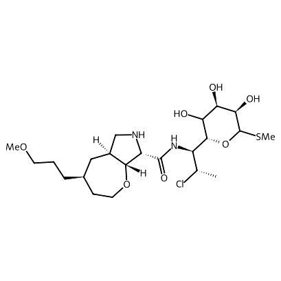 COCCC[C@@H]1CCO[C@@H]2[C@H](CN[C@@H]2C(=O)N[C@H]([C@H](C)Cl)[C@H]2OC(SC)[C@H](O)[C@H](O)C2O)C1